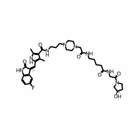 Cc1[nH]c(/C=C2\C(=O)Nc3ccc(F)cc32)c(C)c1C(=O)NCCCN1CCN(CC(=O)NCCCCC(=O)NCC(=O)N2CC[C@@H](O)C2)CC1